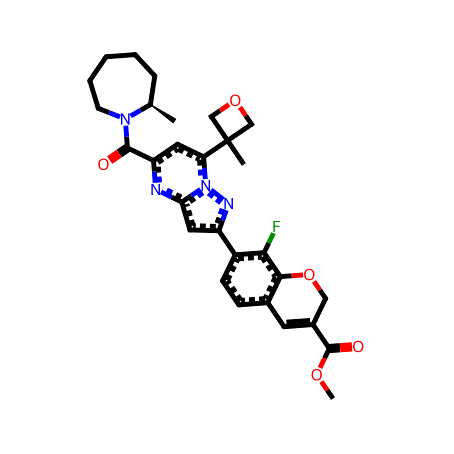 COC(=O)C1=Cc2ccc(-c3cc4nc(C(=O)N5CCCCC[C@H]5C)cc(C5(C)COC5)n4n3)c(F)c2OC1